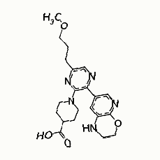 COCCCc1cnc(-c2cnc3c(c2)NCCO3)c(N2CCC(C(=O)O)CC2)n1